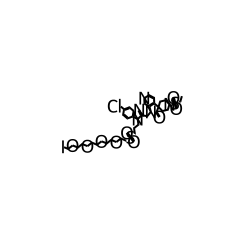 CCS(=O)(=O)N1CCC2(CC1)C(=O)N(Cc1nc3cc(Cl)ccc3n1CCCS(=O)(=O)CCOCCOCCOCCOCI)c1cnccc12